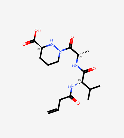 C=CCC(=O)N[C@H](C(=O)N[C@@H](C)C(=O)N1CCC[C@@H](C(=O)O)N1)C(C)C